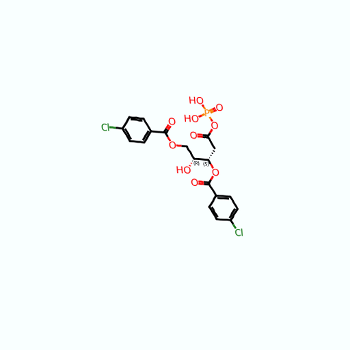 O=C(C[C@H](OC(=O)c1ccc(Cl)cc1)[C@H](O)COC(=O)c1ccc(Cl)cc1)OP(=O)(O)O